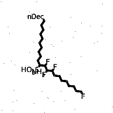 CCCCCCCCCCCCCCCCCCCCC(C(F)C(F)C(F)CCCCCCCCF)S(=O)(=O)O.N